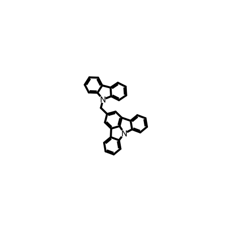 c1ccc2c(c1)c1ccccc1n2Cc1cc2c3ccccc3n3c4ccccc4c(c1)c23